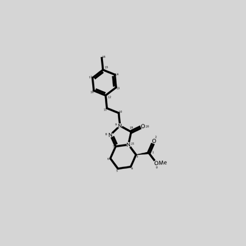 COC(=O)[C@H]1CCCc2nn(CCc3ccc(C)cc3)c(=O)n21